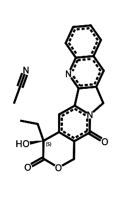 CC#N.CC[C@@]1(O)C(=O)OCc2c1cc1n(c2=O)Cc2cc3ccccc3nc2-1